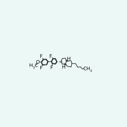 CCCCCC1CC[C@@H]2C[C@H](c3cc(F)c(-c4cc(F)c(OC)c(F)c4)c(F)c3)CC[C@@H]2C1